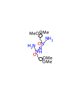 COc1ccc(CCC(=O)N(CCCN)CCNCCN(CCCN)C(=O)CCc2ccc(OC)c(OC)c2)cc1OC